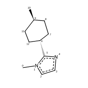 Cn1ccnc1[C@H]1CC[C@H](C)CC1